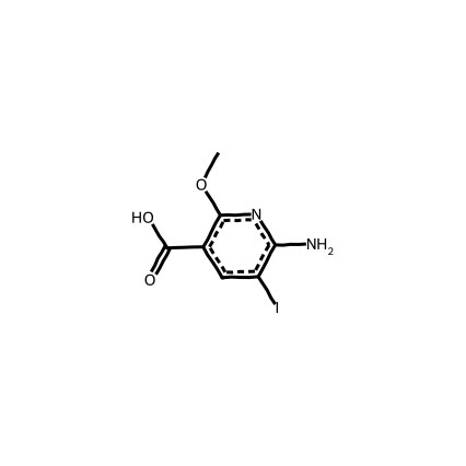 COc1nc(N)c(I)cc1C(=O)O